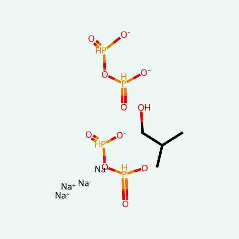 CC(C)CO.O=[PH]([O-])O[PH](=O)[O-].O=[PH]([O-])O[PH](=O)[O-].[Na+].[Na+].[Na+].[Na+]